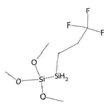 CO[Si](OC)(OC)[SiH2]CCC(F)(F)F